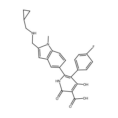 Cn1c(CNCC2CC2)cc2cc(-c3[nH]c(=O)c(C(=O)O)c(O)c3-c3ccc(F)cc3)ccc21